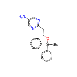 CC(C)(C)[Si](OCCc1ncc(N)cn1)(c1ccccc1)c1ccccc1